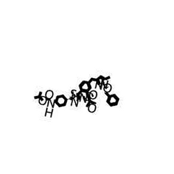 Cc1cc(Cc2ccc(-c3cnc([C@H]4CC[C@H](NC(=O)OC(C)C)CC4)s3)c(S(=N)(=O)C3COC3)c2)nn1OCc1ccccc1